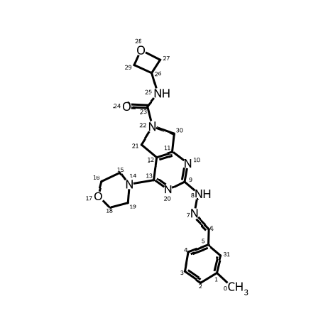 Cc1cccc(/C=N/Nc2nc3c(c(N4CCOCC4)n2)CN(C(=O)NC2COC2)C3)c1